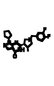 C[C@@H]1CN(Cc2ccc(F)c(F)c2)C[C@H]1c1nc2c(cnn2C2CCCC2)c(=O)[nH]1